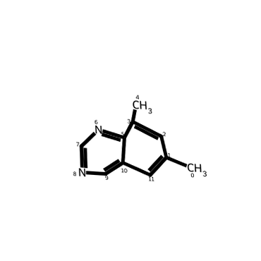 Cc1cc(C)c2ncncc2c1